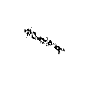 N#Cc1ccc(O[C@H]2CC[C@H](NC(=O)c3ccc(N4CCN([C@@H]5C[C@H]6CNC[C@H]6C5)CC4)nn3)CC2)cc1Cl